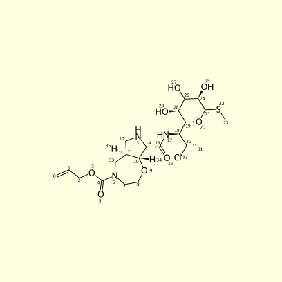 C=CCOC(=O)N1CCO[C@@H]2[C@H](CN[C@@H]2C(=O)N[C@@H]([C@H]2OC(SC)[C@H](O)C(O)[C@@H]2O)[C@H](C)Cl)C1